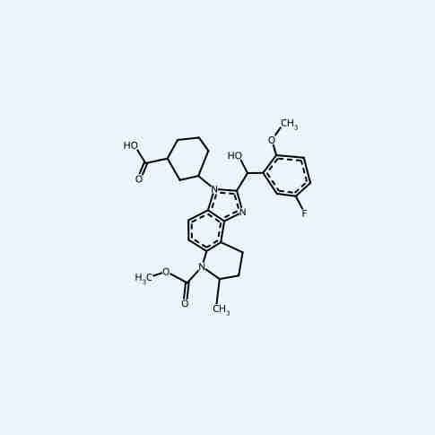 COC(=O)N1c2ccc3c(nc(C(O)c4cc(F)ccc4OC)n3C3CCCC(C(=O)O)C3)c2CCC1C